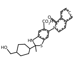 CC1(C2CCC(CO)CC2)Nc2cc(C(=O)O)c(-n3ccc4ccccc4c3=O)cc2S1